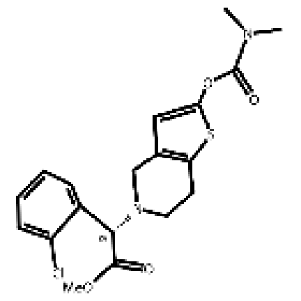 COC(=O)[C@H](c1ccccc1Cl)N1CCc2sc(OC(=O)N(C)C)cc2C1